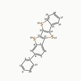 c1ccc(-c2ccc3c(c2)sc2c3sc3c4ccccc4sc32)cc1